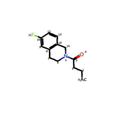 CC(=O)CCC(=O)N1CCc2cc(F)ccc2C1